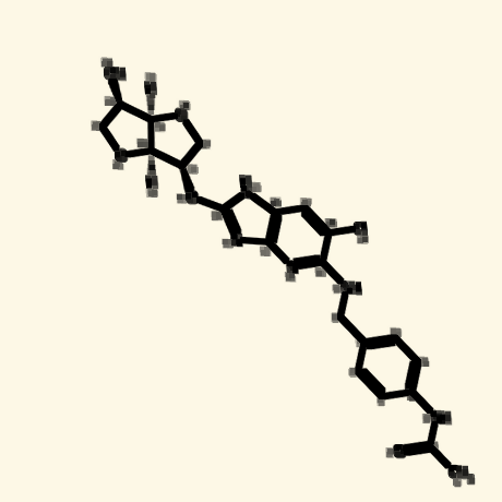 CC(=O)Nc1ccc(CNc2nc3nc(O[C@@H]4CO[C@H]5[C@@H]4OC[C@H]5O)[nH]c3cc2Cl)cc1